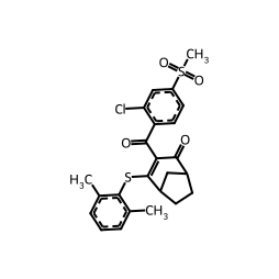 Cc1cccc(C)c1SC1=C(C(=O)c2ccc(S(C)(=O)=O)cc2Cl)C(=O)C2CCC1C2